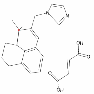 CC(C)C12CCCc3cccc(c31)C=C(Cn1ccnc1)C2.O=C(O)C=CC(=O)O